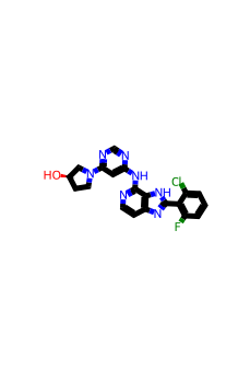 O[C@@H]1CCN(c2cc(Nc3nccc4nc(-c5c(F)cccc5Cl)[nH]c34)ncn2)C1